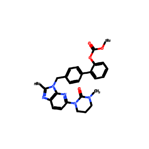 CCCCc1nc2ccc(N3CCCN(C)C3=O)nc2n1Cc1ccc(-c2ccccc2OC(=O)OC(C)(C)C)cc1